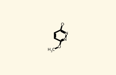 COc1ccc([O])nn1